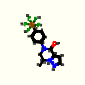 C[C@H]1CN(c2ccc(S(F)(F)(F)(F)F)cc2)C(=O)c2ccnn21